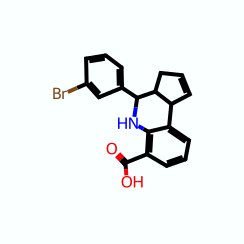 O=C(O)c1cccc2c1NC(c1cccc(Br)c1)C1CC=CC21